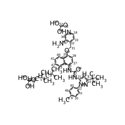 CC(C)C.CC(C)C.Cc1ccc(-n2nc(C(C)(C)C)cc2NC(=O)Nc2ccc(OCc3ccncc3N)c3ccccc23)cc1.O=C(O)O.O=C(O)O